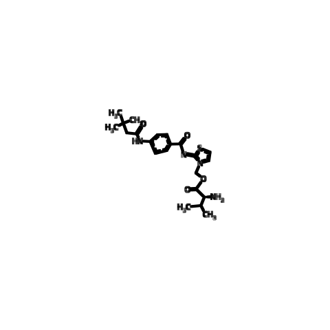 CC(C)[C@H](N)C(=O)OCn1ccs/c1=N\C(=O)c1ccc(NC(=O)CC(C)(C)C)cc1